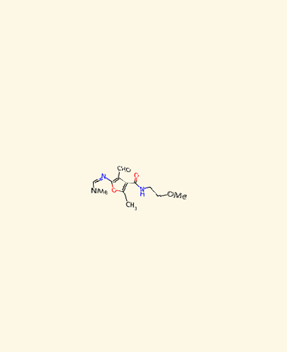 CN/C=N\c1oc(C)c(C(=O)NCCOC)c1C=O